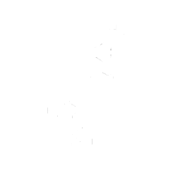 BCc1ccc(C(=O)OCCCC(=O)OC(CS(=O)(=O)O)C(F)(F)F)cc1